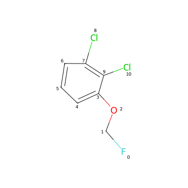 FCOc1cccc(Cl)c1Cl